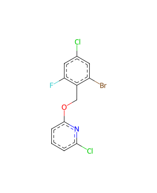 Fc1cc(Cl)cc(Br)c1COc1cccc(Cl)n1